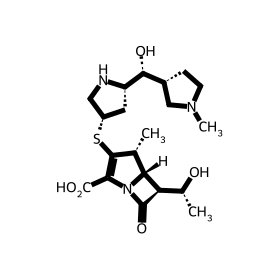 C[C@@H](O)[C@H]1C(=O)N2C(C(=O)O)=C(S[C@@H]3CN[C@H]([C@H](O)[C@@H]4CCN(C)C4)C3)[C@H](C)[C@H]12